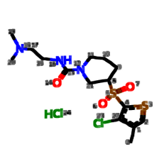 Cc1csc(S(=O)(=O)C2CCCN(C(=O)NCCN(C)C)C2)c1Cl.Cl